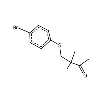 CC(=O)C(C)(C)CSc1ccc(Br)cc1